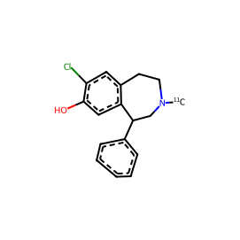 [11CH3]N1CCc2cc(Cl)c(O)cc2C(c2ccccc2)C1